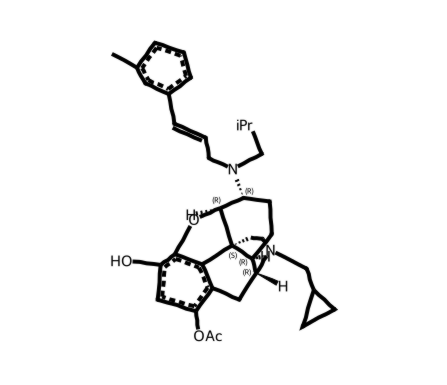 CC(=O)Oc1cc(O)c2c3c1C[C@@H]1[C@@H]4CC[C@@H](N(CC=Cc5cccc(C)c5)CC(C)C)[C@H](O2)[C@]34CCN1CC1CC1